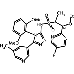 CCO[C@@H](c1ncc(F)cn1)C(C)S(=O)(=O)Nc1nnc(-c2cncc(C)c2)n1-c1c(OC)cccc1OC